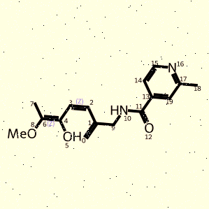 C=C(/C=C\C(O)=C(/C)OC)CNC(=O)c1ccnc(C)c1